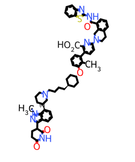 Cc1c(O[C@H]2CC[C@H](CCCCN3CCC[C@H](c4cccc5c(C6CCC(=O)NC6=O)nn(C)c45)C3)CC2)cccc1-c1ccc(N2CCc3cccc(C(=O)Nc4nc5ccccc5s4)c3C2)nc1C(=O)O